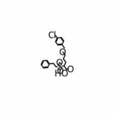 O=C(O)C(CCCOCc1ccc(Cl)cc1)S(=O)(=O)CCc1ccccc1